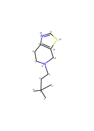 CC(C)(C)CCN1CCc2n[c]sc2C1